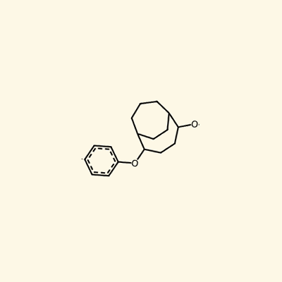 [O]C1CCC(Oc2cc[c]cc2)C2CCCC1CC2